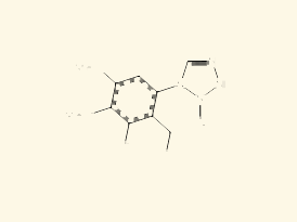 COc1cc(N2C=NNN2S)c(CC(=O)O)c(Cl)c1OC